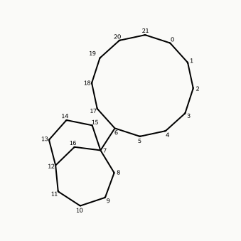 C1CCCCCC(C23CCCCC(CCC2)C3)CCCCC1